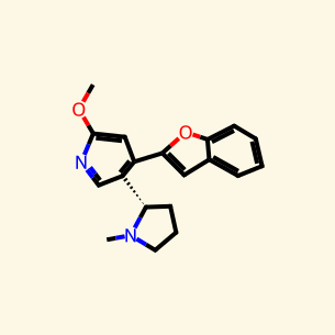 COc1cc(-c2cc3ccccc3o2)c([C@@H]2CCCN2C)cn1